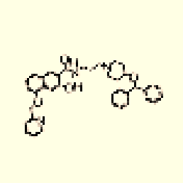 O=C(NCCCN1CCC(OC(c2ccccc2)c2ccccc2)CC1)c1cc2cccc(OCc3ccccn3)c2cc1O